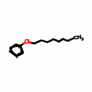 CCCCCCCCOc1c[c][c]cc1